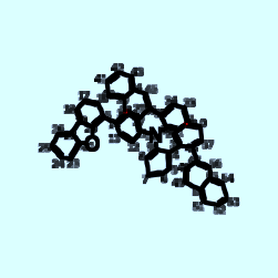 c1ccc(-c2ccccc2N(c2ccc(-c3cccc4c3oc3ccccc34)cc2)c2ccccc2-c2ccc3ccccc3c2)c(-c2ccc3ccccc3c2)c1